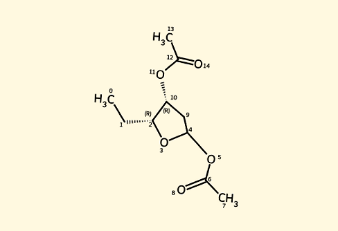 CC[C@H]1OC(OC(C)=O)C[C@H]1OC(C)=O